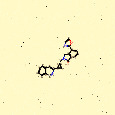 O=C1c2cccc(-c3ncco3)c2CN1C[C@@H]1CC1c1cc2ccccc2cn1